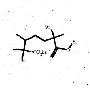 C=C(OCC)C(C)(Br)CCC(C)C(C)(Br)C(=O)OCC